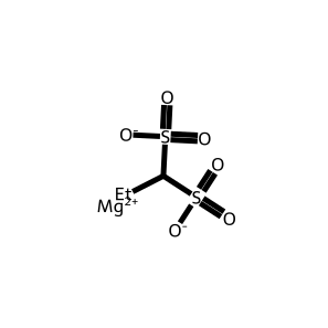 CCC(S(=O)(=O)[O-])S(=O)(=O)[O-].[Mg+2]